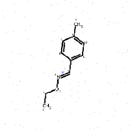 CCO/N=C/c1ccc(C)cc1